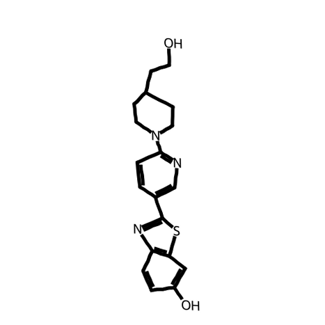 OCCC1CCN(c2ccc(-c3nc4ccc(O)cc4s3)cn2)CC1